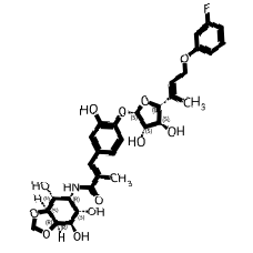 CC(=Cc1ccc(O[C@@H]2O[C@H](C(C)=CCOc3cccc(F)c3)[C@@H](O)[C@@H]2O)c(O)c1)C(=O)N[C@@H]1[C@H](O)[C@@H](O)[C@H]2OCO[C@H]2[C@@H]1O